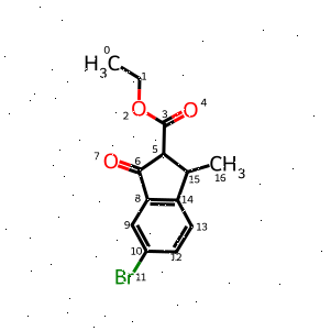 CCOC(=O)C1C(=O)c2cc(Br)ccc2C1C